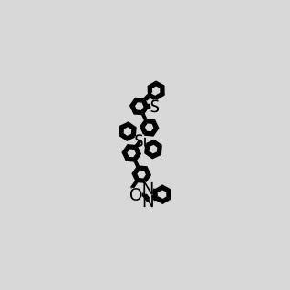 c1ccc([Si](c2ccccc2)(c2cccc(-c3ccc4c(c3)COc3nc5ccccc5n3-4)c2)c2cccc(-c3cccc4c3sc3ccccc34)c2)cc1